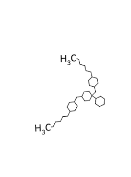 CCCCCCC1CCC(CC2CCC(CC3CCC(CCCCCC)CC3)(C3CCCCC3)CC2)CC1